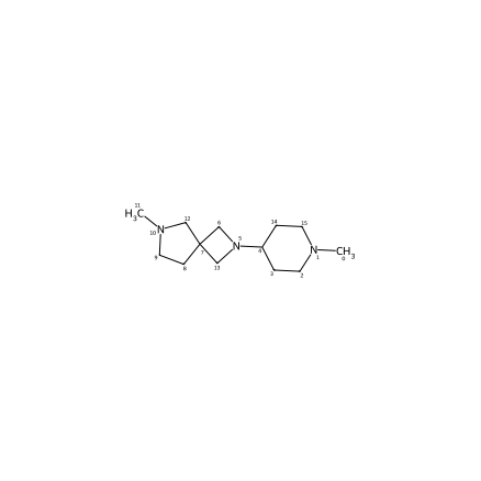 CN1CCC(N2CC3(CCN(C)C3)C2)CC1